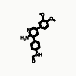 COc1ccc(-c2cnc(N)c(-c3ccc(NC=O)cc3)c2)cc1OC